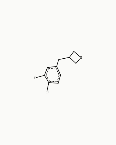 Fc1cc(CC2CSC2)ccc1Cl